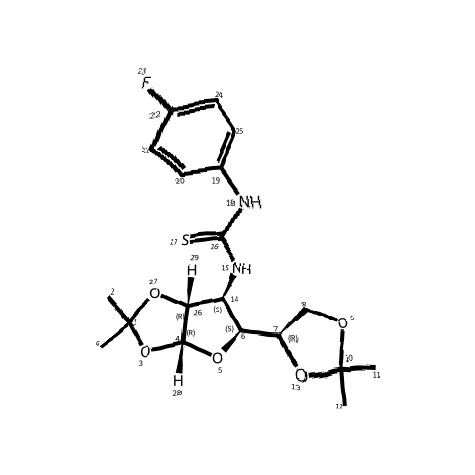 CC1(C)O[C@H]2O[C@H]([C@H]3COC(C)(C)O3)[C@H](NC(=S)Nc3ccc(F)cc3)[C@H]2O1